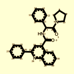 O=C(NC(C(=O)N1CCCC1)c1ccccc1)c1cc(-c2ccccc2)nc2ccccc12